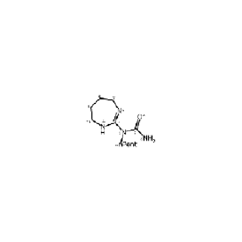 CCCCCN(C(N)=O)C1=NCCCCN1